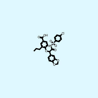 CCCc1cc(C(=O)O)ccc1OC(C(=O)NS(=O)(=O)c1ccc(Cl)cc1)c1ccc2c(c1)OCO2